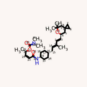 CC(/C=C/[C@@H]1CC2(CC2)CC(C)(C)O1)=C\C[C@H]1CC[C@@H](NC(=O)/C=C\[C@H](C)OC(=O)N(C)C)CC1